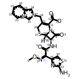 CO/N=C(\C(=O)N[C@@H]1C(=O)N2C(C(=O)[O-])=C(Cn3cc4cccc[n+]4c3)CS[C@@H]12)c1csc(N)n1